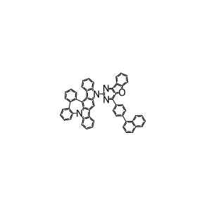 c1ccc2c(c1)-c1ccccc1-n1c3ccccc3c3cc4c(c-2c31)c1ccccc1n4-c1nc(-c2ccc(-c3cccc4ccccc34)cc2)c2oc3ccccc3c2n1